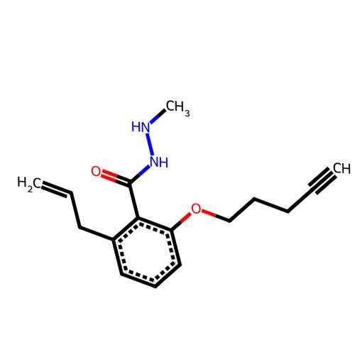 C#CCCCOc1cccc(CC=C)c1C(=O)NNC